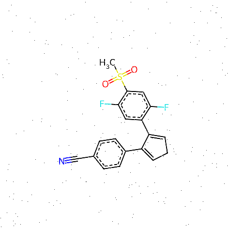 CS(=O)(=O)c1cc(F)c(C2=CCC=C2c2ccc(C#N)cc2)cc1F